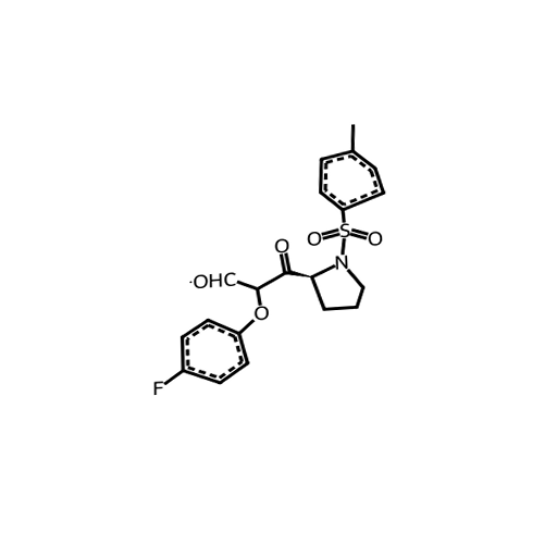 Cc1ccc(S(=O)(=O)N2CCC[C@H]2C(=O)C([C]=O)Oc2ccc(F)cc2)cc1